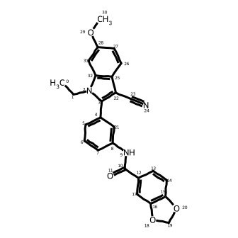 CCn1c(-c2cccc(NC(=O)c3ccc4c(c3)OCO4)c2)c(C#N)c2ccc(OC)cc21